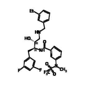 CCc1cccc(CNC[C@@H](O)[C@H](Cc2cc(F)cc(F)c2)NC(=O)c2cccc(N(C)S(=O)(=O)C(F)(F)F)c2)c1